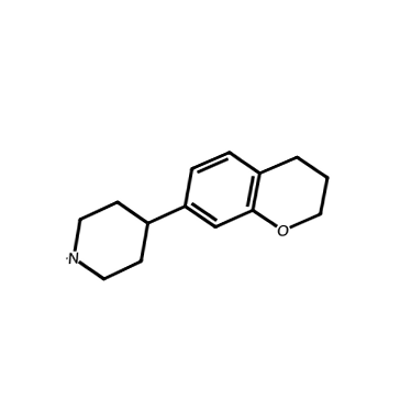 c1cc2c(cc1C1CC[N]CC1)OCCC2